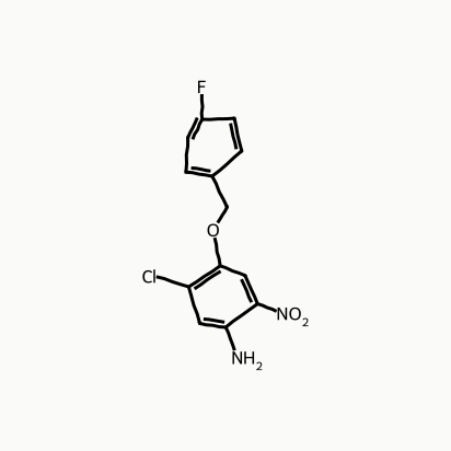 Nc1cc(Cl)c(OCc2ccc(F)cc2)cc1[N+](=O)[O-]